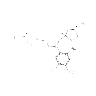 COc1cc2c(cc1O)N(COCC[Si](C)(C)C)C[C@@H]1C[C@@H](O)CN1C2=O